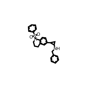 O=S(=O)(c1ccccc1)N1CCCc2cc(C3CC3NCc3ccccc3)ccc21